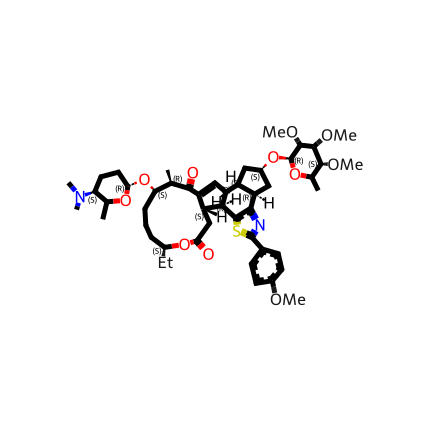 CC[C@H]1CCC[C@H](O[C@H]2CC[C@H](N(C)C)C(C)O2)[C@@H](C)C(=O)C2=C[C@H]3[C@@H]4C[C@H](O[C@@H]5OC(C)[C@H](OC)C(OC)C5OC)C[C@H]4c4nc(-c5ccc(OC)cc5)sc4[C@H]3[C@@H]2CC(=O)O1